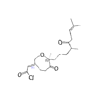 CC(C)=CCC(=O)C(C)CCC[C@]1(C)OC/C(=C/C(=O)Cl)CCC1=O